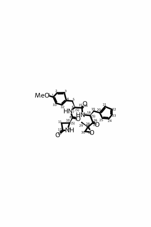 COc1ccc(C[C@H](NC(=O)[C@@H]2CC(=O)N2)C(=O)N[C@@H](Cc2ccccc2)C(=O)[C@@]2(C)CO2)cc1